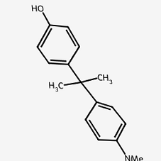 CNc1ccc(C(C)(C)c2ccc(O)cc2)cc1